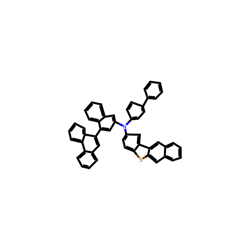 c1ccc(-c2ccc(N(c3cc(-c4cc5ccccc5c5ccccc45)c4ccccc4c3)c3ccc4sc5cc6ccccc6cc5c4c3)cc2)cc1